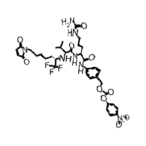 CC(C)[C@H](N[C@@H](CCCCCN1C(=O)C=CC1=O)C(F)(F)F)C(=O)N[C@@H](CCCNC(N)=O)C(=O)Nc1ccc(COC(=O)Oc2ccc([N+](=O)[O-])cc2)cc1